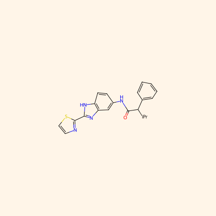 CC(C)C(C(=O)Nc1ccc2[nH]c(-c3nccs3)nc2c1)c1ccccc1